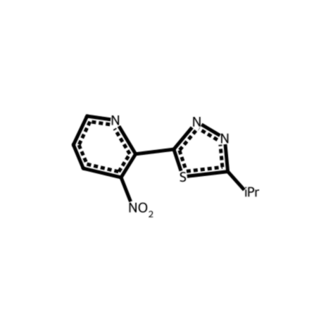 CC(C)c1nnc(-c2ncccc2[N+](=O)[O-])s1